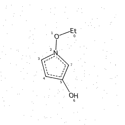 CCOn1ccc(O)c1